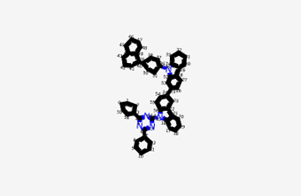 c1ccc(-c2nc(-c3ccccc3)nc(-n3c4ccccc4c4cc(-c5ccc6c7ccccc7n(-c7ccc(-c8cccc9ccccc89)cc7)c6c5)ccc43)n2)cc1